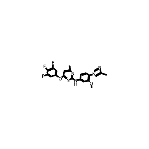 COc1cc(Nc2nc(C)cc(Oc3cc(F)c(F)c(F)c3)n2)ccc1-n1cnc(C)c1